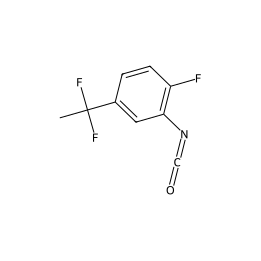 CC(F)(F)c1ccc(F)c(N=C=O)c1